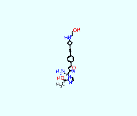 C[C@H](O)c1nccn1[C@H](CN)c1cc(-c2ccc(C#CC3CC(NCCO)C3)cc2)on1